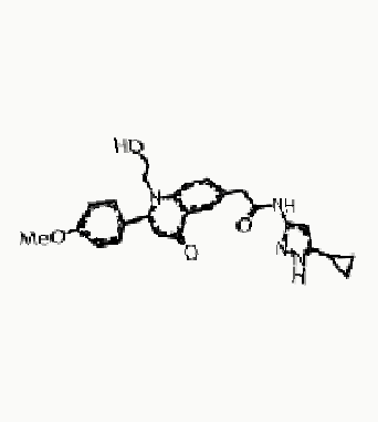 COc1ccc(-c2cc(=O)c3cc(CC(=O)Nc4cc(C5CC5)[nH]n4)ccc3n2CCO)cc1